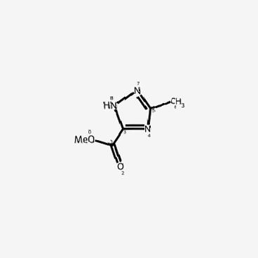 COC(=O)c1nc(C)n[nH]1